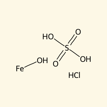 Cl.O=S(=O)(O)O.[OH][Fe]